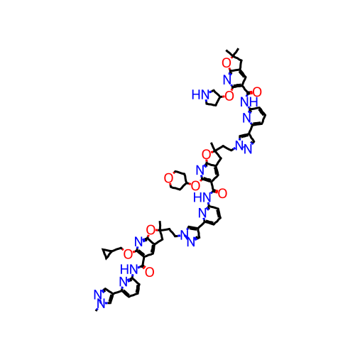 Cn1cc(-c2cccc(NC(=O)c3cc4c(nc3OCC3CC3)OC(C)(CCn3cc(-c5cccc(NC(=O)c6cc7c(nc6OC6CCOCC6)OC(C)(CCn6cc(-c8cccc(NC(=O)c9cc%10c(nc9OC9CCNC9)OC(C)(C)C%10)n8)cn6)C7)n5)cn3)C4)n2)cn1